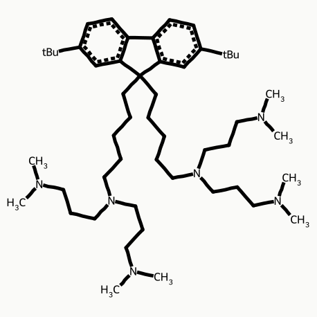 CN(C)CCCN(CCCCCC1(CCCCCN(CCCN(C)C)CCCN(C)C)c2cc(C(C)(C)C)ccc2-c2ccc(C(C)(C)C)cc21)CCCN(C)C